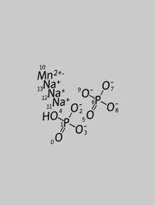 O=P([O-])([O-])O.O=P([O-])([O-])[O-].[Mn+2].[Na+].[Na+].[Na+]